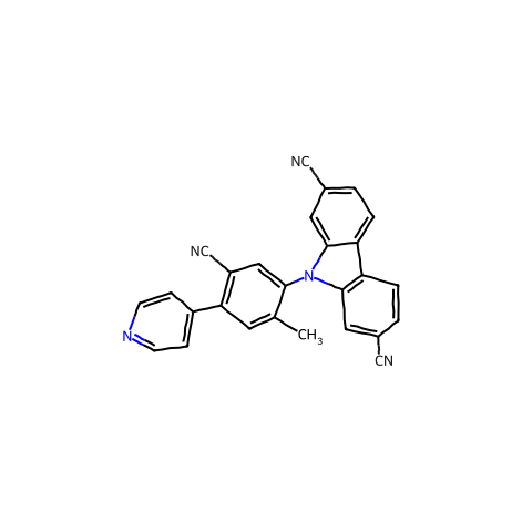 Cc1cc(-c2ccncc2)c(C#N)cc1-n1c2cc(C#N)ccc2c2ccc(C#N)cc21